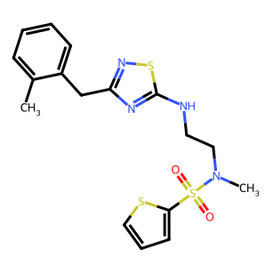 Cc1ccccc1Cc1nsc(NCCN(C)S(=O)(=O)c2cccs2)n1